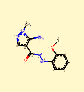 COc1ccccc1NNC(=O)c1cnn(C)c1N